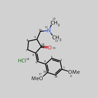 COc1ccc(C=C2CCC(CN(C)C)C2=O)c(OC)c1.Cl